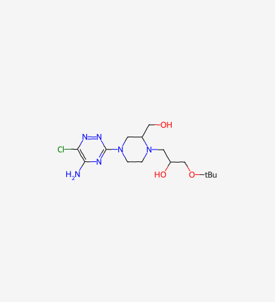 CC(C)(C)OCC(O)CN1CCN(c2nnc(Cl)c(N)n2)CC1CO